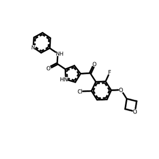 O=C(Nc1cccnc1)c1cc(C(=O)c2c(Cl)ccc(OC3COC3)c2F)c[nH]1